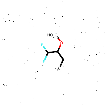 O=C(O)OC(CC(F)(F)F)C(F)F